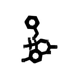 O=C1N=C[C@](OCc2ccccc2)(C(F)(F)F)c2cc(Cl)ccc2N1